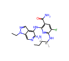 CC[C@H](N)[C@@H](C)Nc1nc(Nc2cncc3c2cnn3CC)c(C(N)=O)cc1F